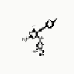 Nc1nc(Cl)c(C#Cc2ccc(F)nc2)c(N[C@@H]2C[C@H](CO)[C@@H](O)C2)n1